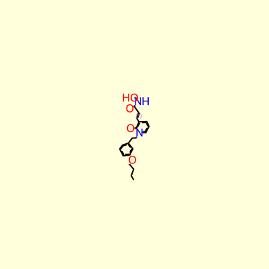 CCCCOc1cccc(CCn2cccc(/C=C/C(=O)NO)c2=O)c1